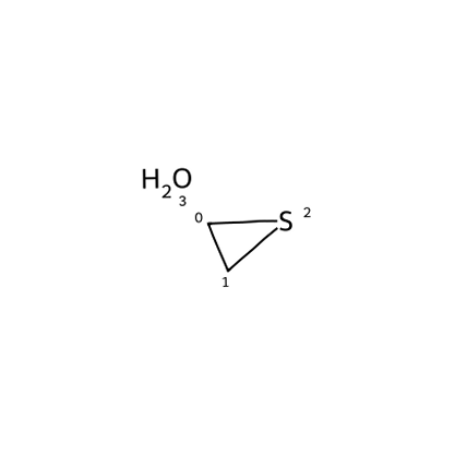 C1CS1.O